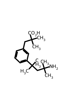 CC(C)(N)CC(C)(C)c1cccc(CC(C)(C)C(=O)O)c1